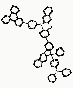 c1ccc(N(c2ccccc2)c2ccc(C3(c4ccccc4)c4ccc(-c5ccc6c(c5)Oc5cc7ccccc7cc5N6c5ccc(-c6ccc7c8ccccc8c8ccccc8c7c6)cc5)cc4-c4cc5ccccc5cc43)cc2)cc1